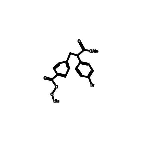 COC(=O)C(Cc1ccc(C(=O)OOC(C)(C)C)cc1)c1ccc(Br)cc1